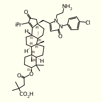 CC(C)C1=C2[C@H]3CC[C@@H]4[C@@]5(C)CC[C@H](OC(=O)CC(C)(C)C(=O)O)C(C)(C)[C@@H]5CC[C@@]4(C)[C@]3(C)CC[C@@]2(Cc2cc(=O)n(-c3ccc(Cl)cc3)n2CCN)CC1=O